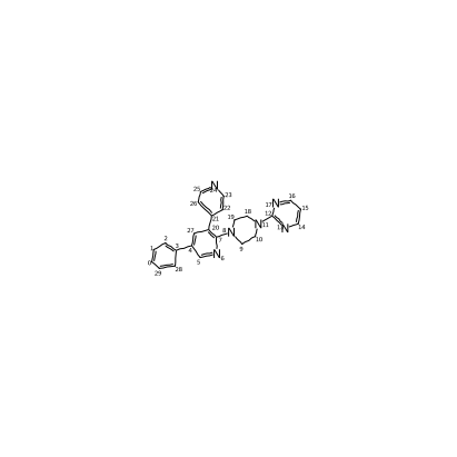 c1ccc(-c2cnc(N3CCN(c4ncccn4)CC3)c(-c3ccncc3)c2)cc1